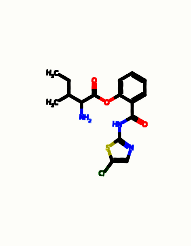 CCC(C)C(N)C(=O)Oc1ccccc1C(=O)Nc1ncc(Cl)s1